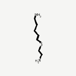 NCCCCCSCCN